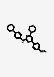 CC(=O)Nc1ccc(-c2cc(N3CCOCC3)nc(Nc3ccc(N4CCCCC4)cc3)n2)cc1